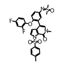 Cc1ccc(S(=O)(=O)n2ccc3c(-c4cc(N=S(C)(C)=O)ccc4Oc4ccc(F)cc4F)cn(C)c(=O)c32)cc1